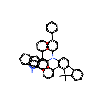 CC1(C)c2ccccc2-c2ccc(N(c3ccc(-c4ccccc4)cc3)c3ccc4[nH]c5ccccc5c4c3-c3ccccc3)c(-c3cccc4c3Cc3ccccc3-4)c21